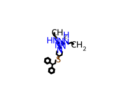 C=CCNc1nc(NCC=C)nc(N2CCC(SCCC(c3ccccc3)c3ccccc3)CC2)n1